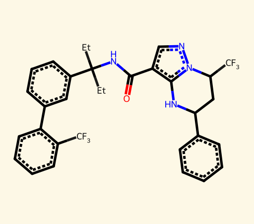 CCC(CC)(NC(=O)c1cnn2c1NC(c1ccccc1)CC2C(F)(F)F)c1cccc(-c2ccccc2C(F)(F)F)c1